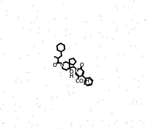 CC(CC1CCCCC1)C(=O)N1CC[C@@](O)(Cn2cc(C(=O)O)c(-c3ccccc3)cc2=O)C2(CCCC2)C1